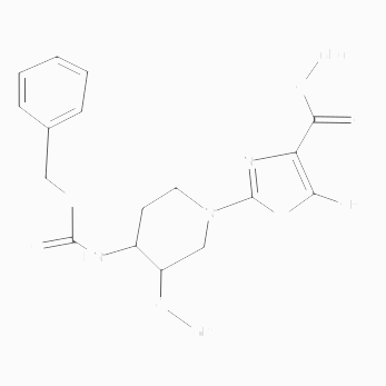 CCCCOC(=O)c1nc(N2CCC(NC(=O)OCc3ccccc3)C(OCCC)C2)oc1C